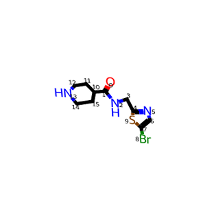 O=C(NCc1ncc(Br)s1)C1CCNCC1